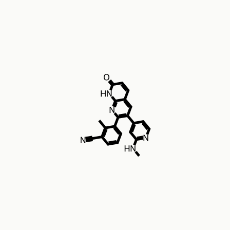 CNc1cc(-c2cc3ccc(=O)[nH]c3nc2-c2cccc(C#N)c2C)ccn1